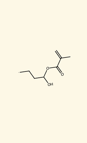 [CH2]CCC(O)OC(=O)C(=C)C